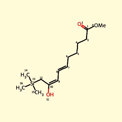 COC(=O)CCCC/C=C/C=C(/O)C[Si](C)(C)C